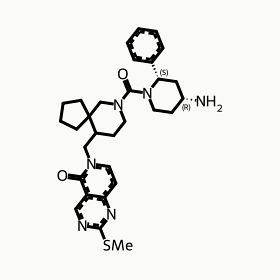 CSc1ncc2c(=O)n(CC3CCN(C(=O)N4CC[C@@H](N)C[C@H]4c4ccccc4)CC34CCCC4)ccc2n1